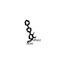 CCCCCCCCCCCCC1(CCCCC)C=CC(c2ccc(-c3ccccc3)cc2)C(F)=C1F